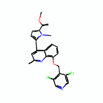 C=C(OC)c1ccc(-c2cc(C)nc3c(OCc4c(Cl)cncc4Cl)cccc23)n1C